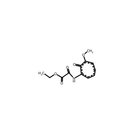 CCOC(=O)C(=O)Nc1ccccc(OC)c1=O